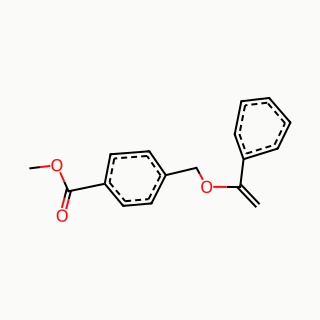 C=C(OCc1ccc(C(=O)OC)cc1)c1ccccc1